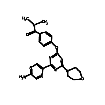 CN(C)C(=O)c1ccc(Oc2nc(-c3cnc(N)cn3)nc(N3CCOCC3)n2)cc1